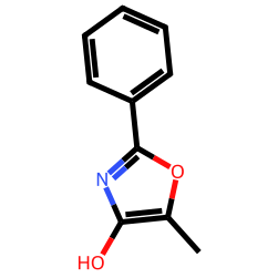 Cc1oc(-c2ccccc2)nc1O